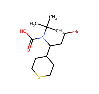 CC(C)(C)N(C(=O)O)C(CCBr)C1CCSCC1